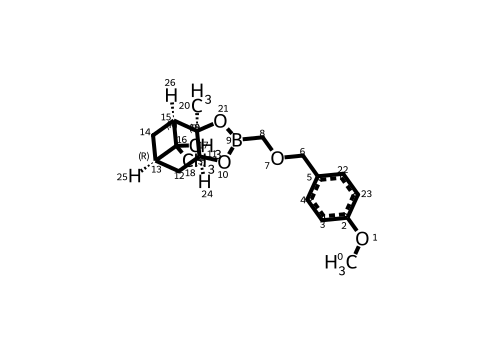 COc1ccc(COCB2O[C@H]3C[C@H]4C[C@H](C4(C)C)[C@@]3(C)O2)cc1